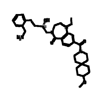 CCN1CCN(C[C@@H](O)CCc2ccccc2CN)C(=O)c2ccc(C(=O)N3CCC4(CCC(OC)CC4)CC3)cc21